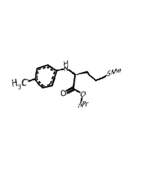 CCCOC(=O)[C@H](CCSC)Nc1ccc(C)cc1